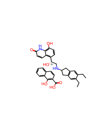 CCc1cc2c(cc1CC)CC(NC[C@H](O)c1ccc(O)c3[nH]c(=O)ccc13)C2.O=C(O)c1ccc2ccccc2c1O